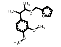 COc1ccc(C(N)C(C)NCc2ccco2)cc1OC